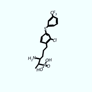 CC(C(N)CCCc1ccc(Sc2cccc(C(F)(F)F)c2)cc1Cl)P(=O)(O)O